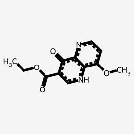 CCOC(=O)c1c[nH]c2c(OC)ccnc2c1=O